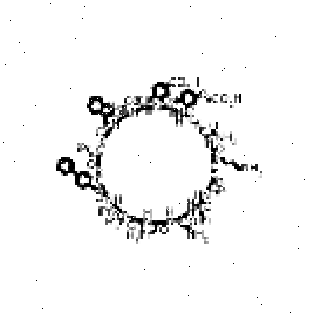 CC(C)C[C@@H]1CCC(=O)[C@H](Cc2c[nH]c3ccccc23)NC(=O)[C@H](CC(=O)O)NC(=O)[C@H](Cc2ccc(C(=O)O)cc2)NC(O)[C@H](Cc2ccc(OCC(=O)O)cc2)NC(=O)CSC[C@@H](C(N)=O)NC(=O)[C@H](CCCCN)CCC(=O)[C@H](C(C)C)NC(=O)[C@H](CC(C)C)NC(=O)[C@H](CC(N)=O)NC(=O)[C@@H](CC(C)C)NC(=O)[C@H](C)N(C)C(=O)[C@H](C(C)C)NC(=O)[C@H](Cc2ccc(-c3ccccc3)cc2)CCC1=O